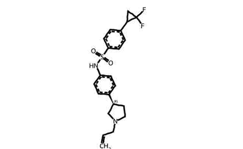 C=CCN1CC[C@H](c2ccc(NS(=O)(=O)c3ccc(C4CC4(F)F)cc3)cc2)C1